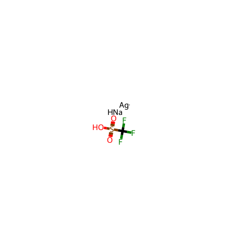 O=S(=O)(O)C(F)(F)F.[Ag].[NaH]